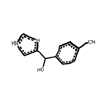 N#Cc1ccc(C(O)c2c[nH]cn2)cc1